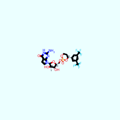 C[C@@]1(O)[C@H](O)[C@@H](COP2(=O)OCC[C@H](c3cc(C(F)(F)F)cc(C(F)(F)F)c3)O2)O[C@H]1n1ccc2c(=O)[nH]c(N)nc21